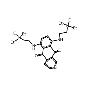 CC[N+]([O-])(CC)CCNc1ccc(NCC[N+]([O-])(CC)CC)c2c1C(=O)c1ccncc1C2=O